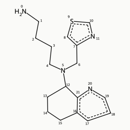 NCCCCN(Cc1cscn1)C1CCCc2cccnc21